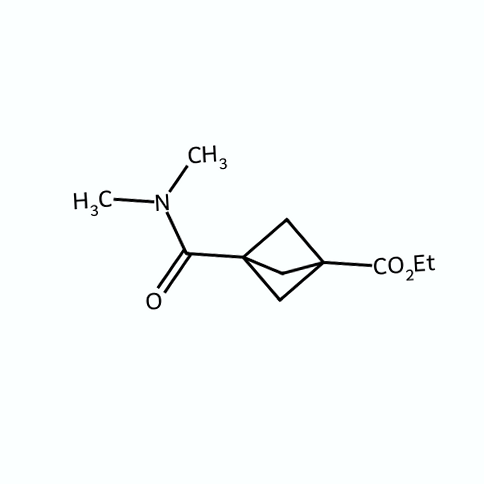 CCOC(=O)C12CC(C(=O)N(C)C)(C1)C2